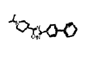 CC(C)N1CCC(c2nc(-c3ccc(-c4ccccc4)cc3)no2)CC1